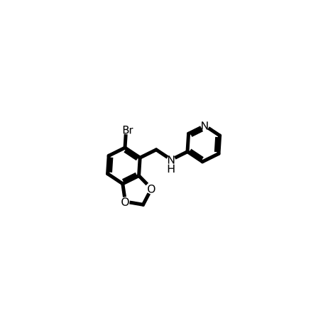 Brc1ccc2c(c1CNc1cccnc1)OCO2